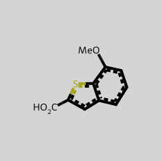 COc1cccc2cc(C(=O)O)sc12